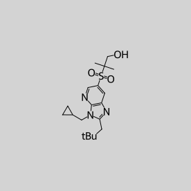 CC(C)(C)Cc1nc2cc(S(=O)(=O)C(C)(C)CO)cnc2n1CC1CC1